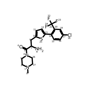 CN1CCN(C(=O)C(N)Cc2ccc(-c3ccc(Cl)cc3C(F)(F)F)s2)CC1